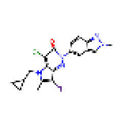 Cc1c(I)c2nn(-c3ccc4nn(C)cc4c3)c(=O)c(Cl)c2n1CC1CC1